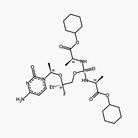 CC[C@@](F)(COP(=O)(N[C@@H](C)C(=O)OC1CCCCC1)N[C@@H](C)C(=O)OC1CCCCC1)O[C@H](C)n1ccc(N)nc1=O